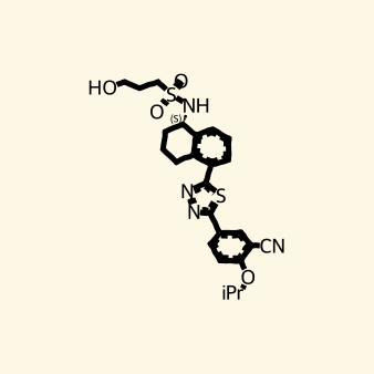 CC(C)Oc1ccc(-c2nnc(-c3cccc4c3CCC[C@@H]4NS(=O)(=O)CCCO)s2)cc1C#N